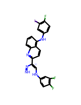 N=N/C(=C\Nc1ccc(F)c(F)c1)c1ccc2c(Nc3ccc(F)c(I)c3)cccc2n1